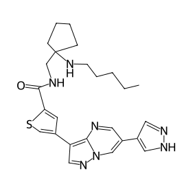 CCCCCNC1(CNC(=O)c2cc(-c3cnn4cc(-c5cn[nH]c5)cnc34)cs2)CCCC1